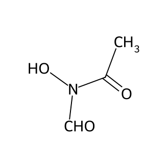 CC(=O)N(O)C=O